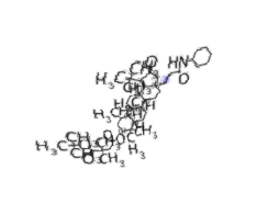 CC1C[C@H](OC(=O)CC(C)(C)C(=O)OC(C)(C)C)C(C)(C)[C@@H]2CC[C@]3(C)[C@H](CC[C@@H]4C5=C(C(C)(C)C)C(=O)C[C@]5(/C=C/C(=O)NC5CCCCC5)CC[C@H]43)[C@@H]12